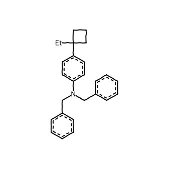 CCC1(c2ccc(N(Cc3ccccc3)Cc3ccccc3)cc2)CCC1